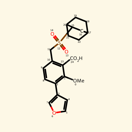 COc1c(-c2ccoc2)ccc(CS(=O)(=O)C2CC3CCC2CC3)c1C(=O)O